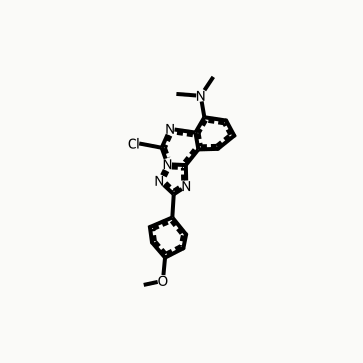 COc1ccc(-c2nc3c4cccc(N(C)C)c4nc(Cl)n3n2)cc1